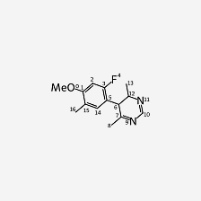 COc1cc(F)c(C2C(C)=NC=NC2C)cc1C